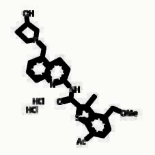 COCc1ccc(C(C)=O)c2sc(C(=O)Nc3ccc4c(CN5CCC(O)C5)cccc4n3)c(C)c12.Cl.Cl